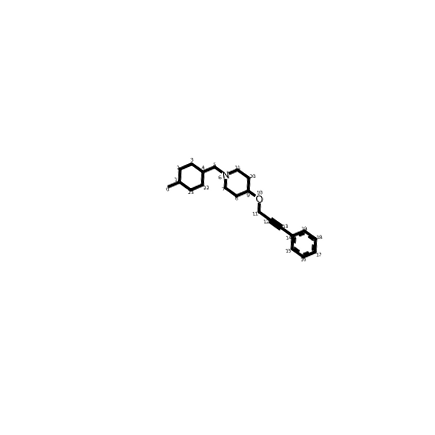 CC1CCC(CN2CCC(OCC#Cc3ccccc3)CC2)CC1